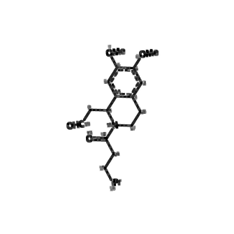 COc1cc2c(cc1OC)C(CC=O)N(C(=O)CCC(C)C)CC2